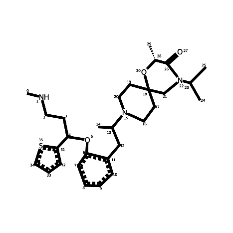 CNCCC(Oc1ccccc1CC(C)N1CCC2(CC1)CN(C(C)C)C(=O)[C@@H](C)O2)c1cccs1